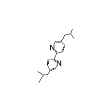 CC(C)Cc1ccc(-c2ccc(CC(C)C)cn2)nc1